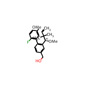 C=CC(C)(C)[C@@H](OC)c1cc(CO)ccc1-c1cc(OC)ccc1F